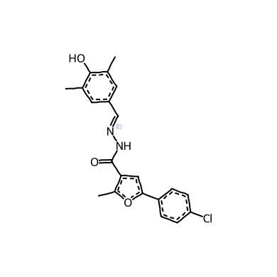 Cc1cc(/C=N/NC(=O)c2cc(-c3ccc(Cl)cc3)oc2C)cc(C)c1O